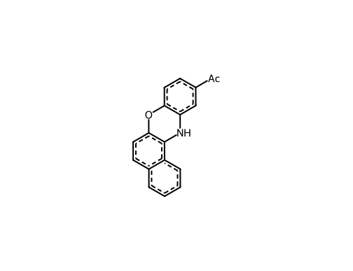 CC(=O)c1ccc2c(c1)Nc1c(ccc3ccccc13)O2